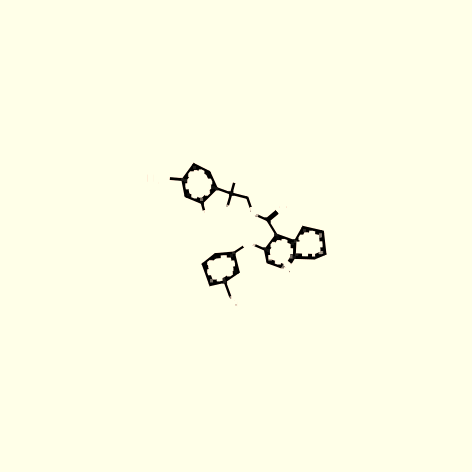 Cc1ccc(C(F)(F)CNC(=O)c2c(Oc3cccc(Br)c3)cnc3ccccc23)c(C)c1